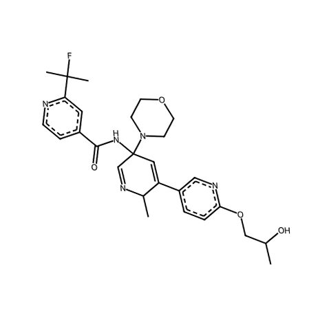 CC(O)COc1ccc(C2=CC(NC(=O)c3ccnc(C(C)(C)F)c3)(N3CCOCC3)C=NC2C)cn1